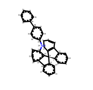 C1=CC2=C(CC1)[C@]1(c3ccccc32)c2ccccc2-c2cccc(Nc3ccc(-c4ccccc4)cc3)c21